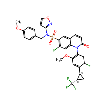 COC1=C(n2c(=O)ccc3cc(S(=O)(=O)N(Cc4ccc(OC)cc4)c4ccon4)c(F)cc32)CC(F)C([C@H]2C[C@@H]2C(F)(F)F)=C1